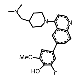 COc1cc(-c2ccc3nc[c]c(N4CCC(CN(C)C)CC4)c3c2)cc(Cl)c1O